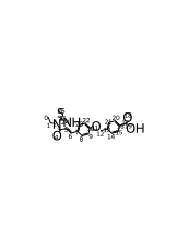 CCN1C(=O)C(=Cc2ccc(OCc3ccc(C(=O)O)cc3)cc2)NC1=S